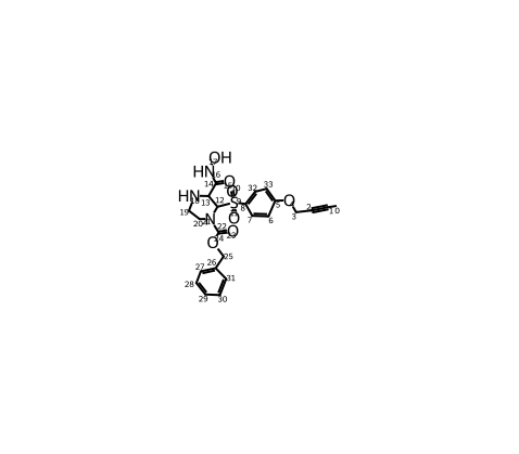 CC#CCOc1ccc(S(=O)(=O)C2C(C(=O)NO)NCCN2C(=O)OCc2ccccc2)cc1